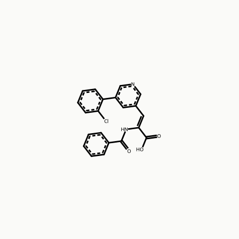 O=C(O)C(=Cc1cncc(-c2ccccc2Cl)c1)NC(=O)c1ccccc1